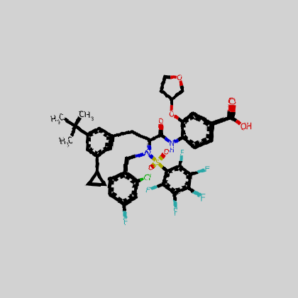 CC(C)(C)c1cc(CC(C(=O)Nc2ccc(C(=O)O)cc2OC2CCOC2)N(Cc2ccc(F)cc2Cl)S(=O)(=O)c2c(F)c(F)c(F)c(F)c2F)cc(C2CC2)c1